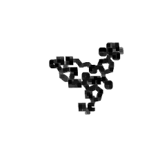 Cc1ccc(NC(=O)c2ccc(S(C)(=O)=O)cc2OCCCN)c(C(=O)Nc2ccc(Cl)cn2)n1